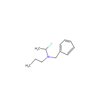 CCCN(Cc1ccccc1)C(C)F